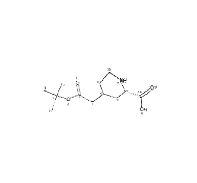 CC(C)(C)OC(=O)CC1CCN[C@H](C(=O)O)C1